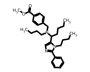 CCCCC(c1cnc(-c2ccccc2)n1CCCC)N(CCCC)Cc1ccc(C(=O)OC)cc1